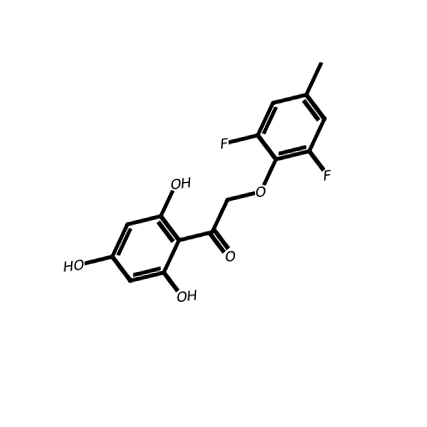 Cc1cc(F)c(OCC(=O)c2c(O)cc(O)cc2O)c(F)c1